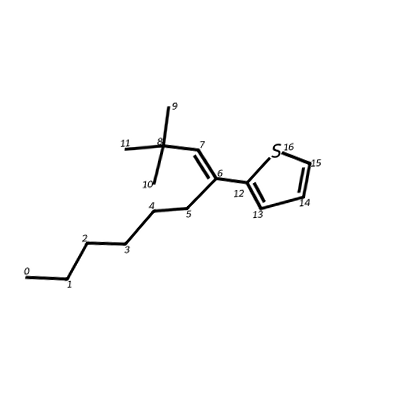 CCCCCC/C(=C\C(C)(C)C)c1cccs1